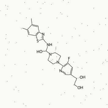 Cc1cc2nc(NC(O)N3CCN(c4ncc([C@H](O)CO)cc4F)C[C@H]3C)sc2cc1C